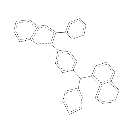 c1ccc(-c2cc3ccccc3cc2-c2ccc(N(c3ccccc3)c3cccc4ccccc34)cc2)cc1